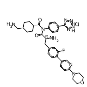 Cl.NC[C@H]1CC[C@H](C(=O)N(C(=O)[C@@H](N)Cc2ccc(-c3ccc(N4CCOCC4)nc3)c(F)c2)c2ccc(-c3nn[nH]n3)cc2)CC1